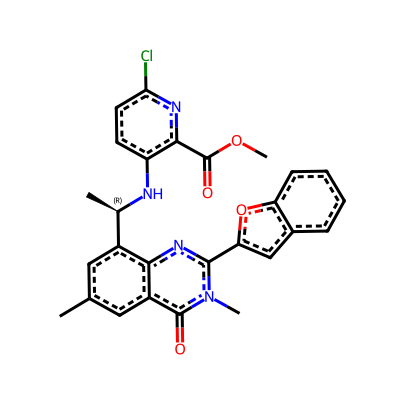 COC(=O)c1nc(Cl)ccc1N[C@H](C)c1cc(C)cc2c(=O)n(C)c(-c3cc4ccccc4o3)nc12